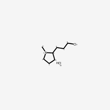 CN1CCCC1CCCCl.Cl